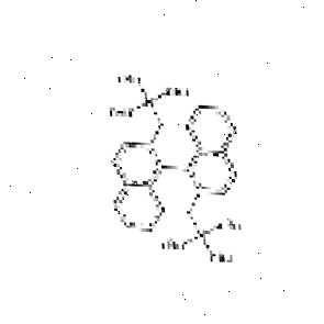 CCCC[N+](CCCC)(CCCC)Cc1ccc2ccccc2c1-c1c(C[N+](CCCC)(CCCC)CCCC)ccc2ccccc12